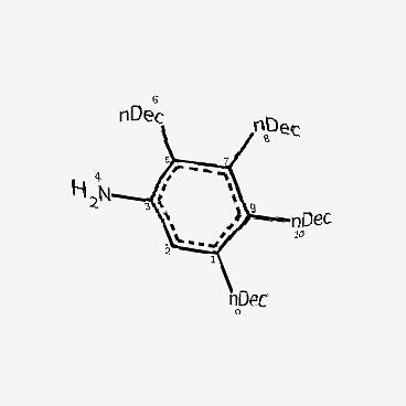 CCCCCCCCCCc1[c]c(N)c(CCCCCCCCCC)c(CCCCCCCCCC)c1CCCCCCCCCC